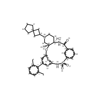 Cc1cccc(C)c1-c1cc2nc(n1)NS(=O)(=O)c1cccc(c1)C(=O)N[C@@H]1CCN(C3CC4(CCCC4)C3)C[C@H]1O2